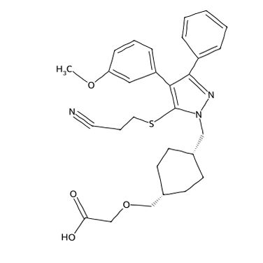 COc1cccc(-c2c(-c3ccccc3)nn(C[C@H]3CC[C@@H](COCC(=O)O)CC3)c2SCCC#N)c1